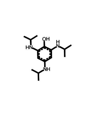 CC(C)Nc1cc(NC(C)C)c(O)c(NC(C)C)c1